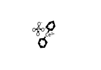 O=P([O-])([O-])[O-].c1cc[c]([Ce+3][c]2ccccc2)cc1